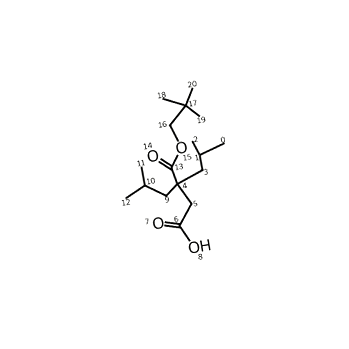 CC(C)CC(CC(=O)O)(CC(C)C)C(=O)OCC(C)(C)C